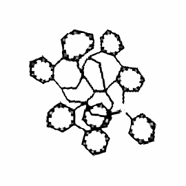 c1ccc(N(c2ccccc2)c2cccc3c2C24CC5CC6(CC7CC(c8ccccc8-c8ccccc87)(C(C2)c2ccccc2-3)C64)c2ccccc2-c2ccccc25)cc1